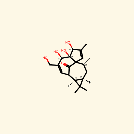 CC1=CC23C(=O)C(C=C(CO)[C@@H](O)[C@]2(O)[C@H]1O)[C@H]1[C@@H](C[C@H]3C)C1(C)C